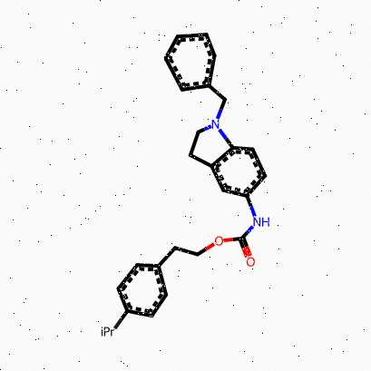 CC(C)c1ccc(CCOC(=O)Nc2ccc3c(c2)CCN3Cc2ccccc2)cc1